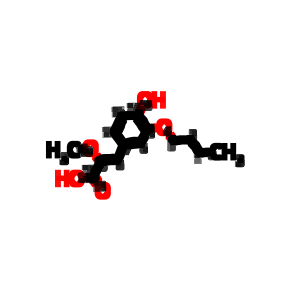 CCCCOc1cc(C=C(OC)C(=O)O)ccc1O